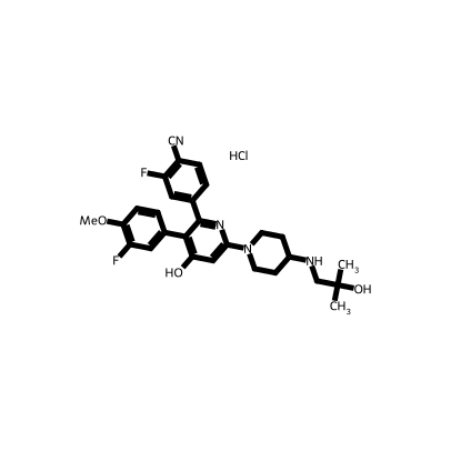 COc1ccc(-c2c(O)cc(N3CCC(NCC(C)(C)O)CC3)nc2-c2ccc(C#N)c(F)c2)cc1F.Cl